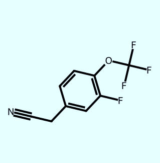 N#CCc1ccc(OC(F)(F)F)c(F)c1